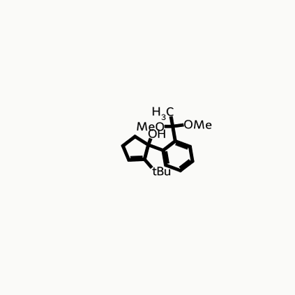 COC(C)(OC)c1ccccc1C1(O)CCC=C1C(C)(C)C